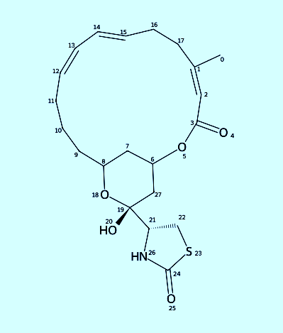 C/C1=C/C(=O)OC2CC(CCC/C=C\C=C\CC1)O[C@@](O)([C@@H]1CSC(=O)N1)C2